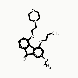 CCCOc1cc(OC)cc2c1-c1c(OCCN3CCOCC3)cccc1C2=O